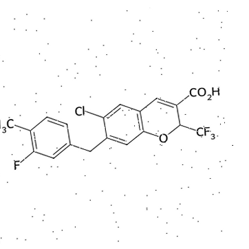 Cc1ccc(Cc2cc3c(cc2Cl)C=C(C(=O)O)C(C(F)(F)F)O3)cc1F